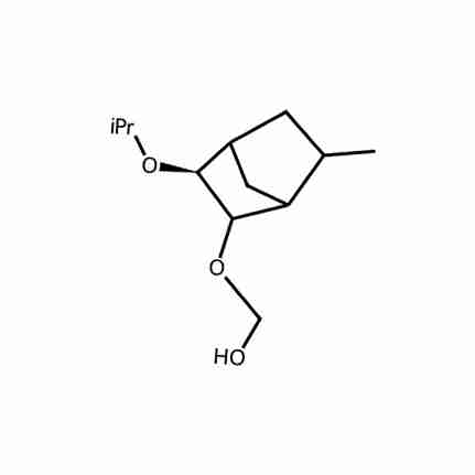 CC(C)O[C@H]1C2CC(C)C(C2)C1OCO